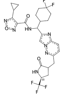 O=C(NC(c1cn2nc(CC3C[C@@H](C(F)(F)F)NC3=O)ccc2n1)C1CCC(F)(F)CC1)c1nonc1C1CC1